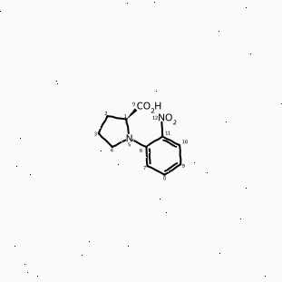 O=C(O)[C@@H]1CCCN1c1ccccc1[N+](=O)[O-]